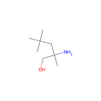 CC(C)(C)CC(C)(N)CO